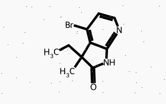 CCC1(C)C(=O)Nc2nccc(Br)c21